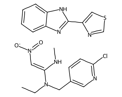 CCN(Cc1ccc(Cl)nc1)/C(=C/[N+](=O)[O-])NC.c1ccc2[nH]c(-c3cscn3)nc2c1